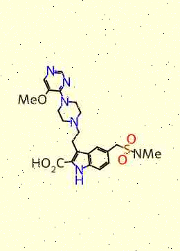 CNS(=O)(=O)Cc1ccc2[nH]c(C(=O)O)c(CCN3CCN(c4ncncc4OC)CC3)c2c1